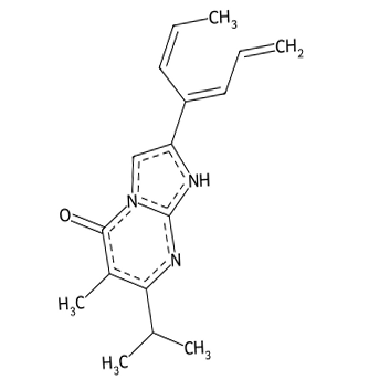 C=C/C=C(\C=C/C)c1cn2c(=O)c(C)c(C(C)C)nc2[nH]1